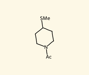 CSC1CCN(C(C)=O)CC1